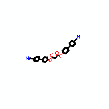 N#Cc1ccc(-c2ccc(OC(=O)CC(=O)Oc3ccc(-c4ccc(C#N)cc4)cc3)cc2)cc1